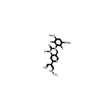 CB/C=C(\C=N)c1cc2c(cn1)CN(c1c(F)c(OC)cc(OC)c1F)C(=O)N2CC